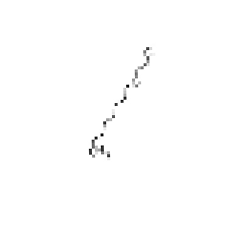 CCCCCCCCSCCCl